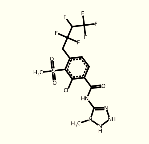 CN1NNN=C1NC(=O)c1ccc(CC(F)(F)C(F)C(F)(F)F)c(S(C)(=O)=O)c1Cl